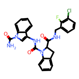 NC(=O)n1cc(NC(=O)N2c3ccccc3CC2C(=O)NCc2cccc(Cl)c2F)c2ccccc21